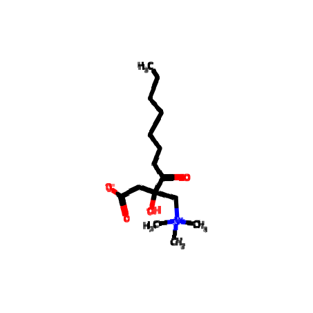 CCCCCCCC(=O)C(O)(CC(=O)[O-])C[N+](C)(C)C